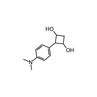 CN(C)c1ccc(C2C(O)CC2O)cc1